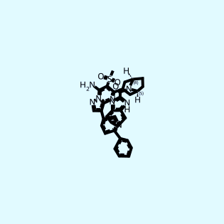 CS(=O)(=O)c1c(C2C[C@H]3CC[C@@H](C2)N3C(=O)c2nc3ccccc3[nH]2)nc2c(-c3ccc(-c4ccccc4)nc3)cnn2c1N